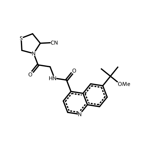 COC(C)(C)c1ccc2nccc(C(=O)NCC(=O)N3CSCC3C#N)c2c1